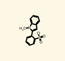 Cn1c(-c2ccccc2S(=O)(=O)Cl)cc2ccccc21